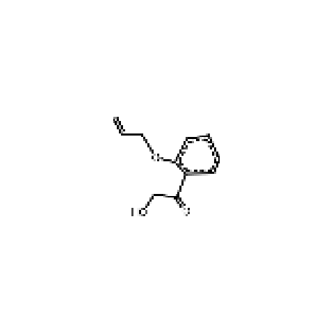 C=CCOc1ccccc1C(=O)CO